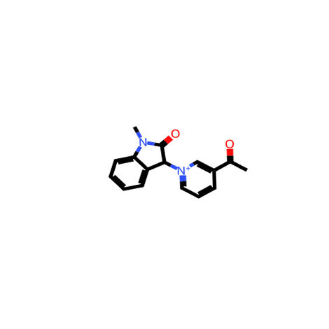 CC(=O)c1ccc[n+](C2C(=O)N(C)c3ccccc32)c1